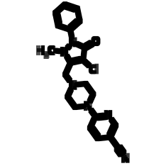 Cn1c(CN2CCN(c3ccc(C#N)cn3)CC2)c(Cl)c(=O)n1-c1ccccc1